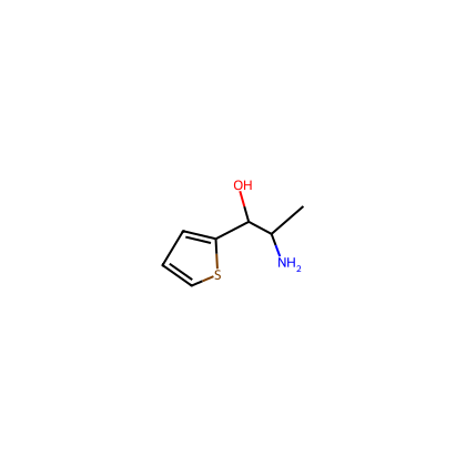 CC(N)C(O)c1cccs1